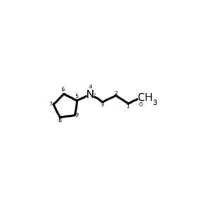 CCCC[N]C1CCCC1